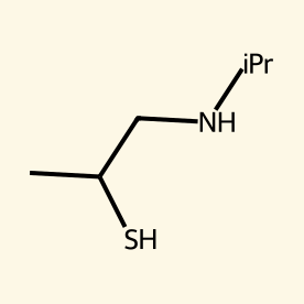 CC(S)CNC(C)C